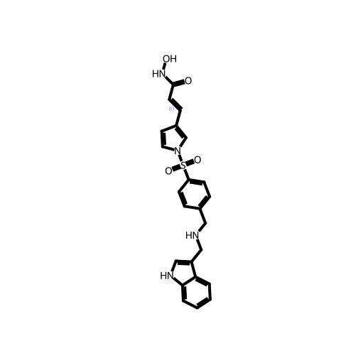 O=C(/C=C/c1ccn(S(=O)(=O)c2ccc(CNCc3c[nH]c4ccccc34)cc2)c1)NO